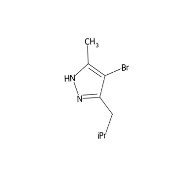 Cc1[nH]nc(CC(C)C)c1Br